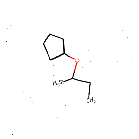 [CH2]CC([SiH3])OC1CCCC1